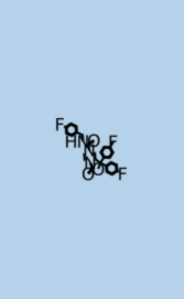 O=C(NCc1ccc(F)cc1)N1CCN2C(=O)OC(c3ccc(F)cc3)(c3ccc(F)cc3)C2C1